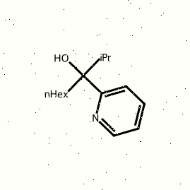 CCCCCCC(O)(c1ccccn1)C(C)C